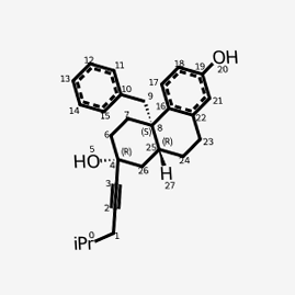 CC(C)CC#C[C@@]1(O)CC[C@@]2(Cc3ccccc3)c3ccc(O)cc3CC[C@@H]2C1